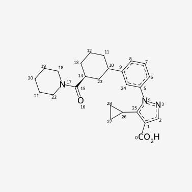 O=C(O)c1cnn(-c2cccc(C3CCC[C@H](C(=O)N4CCCCC4)C3)c2)c1C1CC1